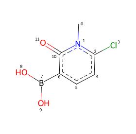 Cn1c(Cl)ccc(B(O)O)c1=O